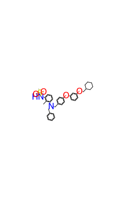 Cc1c(NS(C)(=O)=O)cccc1N(Cc1ccccc1)Cc1ccc(Oc2cccc(OCC3CCCCC3)c2)cc1